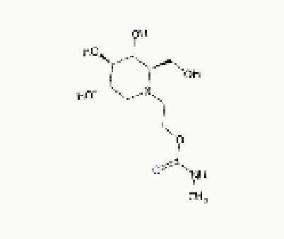 CNC(=O)OCCN1C[C@H](O)[C@@H](O)[C@H](O)[C@H]1CO